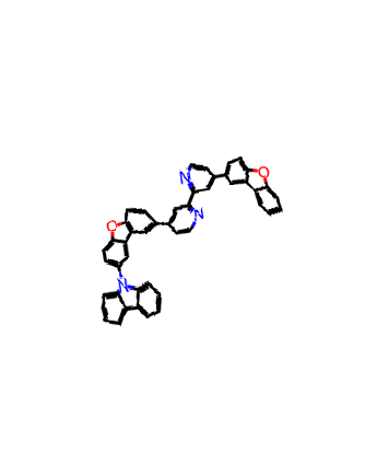 c1ccc2c(c1)oc1ccc(-c3ccnc(-c4cc(-c5ccc6oc7ccc(-n8c9ccccc9c9ccccc98)cc7c6c5)ccn4)c3)cc12